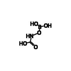 O=C(O)NOB(O)O